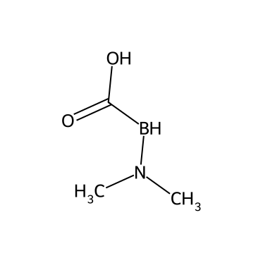 CN(C)BC(=O)O